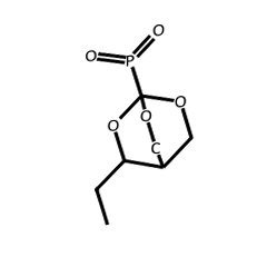 CCC1OC2(P(=O)=O)OCC1CO2